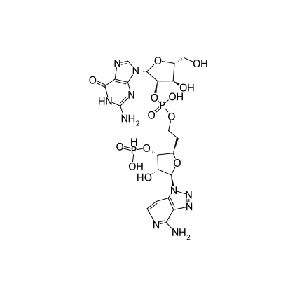 Nc1nc2c(ncn2[C@@H]2O[C@H](CO)[C@@H](O)[C@H]2OP(=O)(O)OCC[C@H]2O[C@@H](n3nnc4c(N)nccc43)[C@H](O)[C@@H]2O[PH](=O)O)c(=O)[nH]1